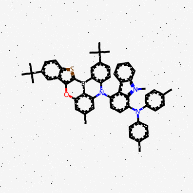 Cc1ccc(N(c2ccc(C)cc2)c2ccc(N3c4ccc(C(C)(C)C)cc4B4c5sc6ccc(C(C)(C)C)cc6c5Oc5cc(C)cc3c54)c3c4ccccc4n(C)c23)cc1